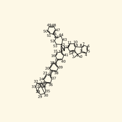 CC1(C)c2ccccc2-c2ccc(N(c3ccc(-c4ccc(-c5ccc(C67CC8CC(CC(C8)C6)C7)cc5)cc4)cc3)C3CCC(c4ccccc4)CC3)cc21